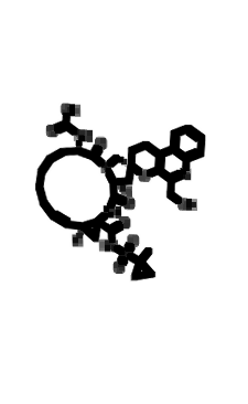 CC1(S(=O)(=O)NC(=O)[C@@]23C[C@H]2C=CCCCCC[C@H](NC(=O)O)C(=O)N2C[C@@]4(CCc5c(c(CO)nc6ccccc56)O4)C[C@H]2C(=O)N3)CC1